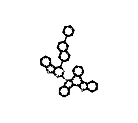 c1ccc(-c2ccc3cc(-c4nc(-n5c6ccccc6c6c7sc8ccccc8c7c7ccccc7c65)nc5sc6ccccc6c45)ccc3c2)cc1